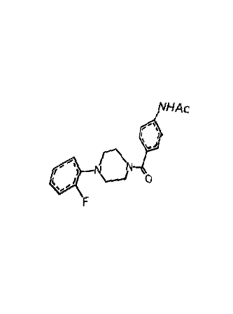 CC(=O)Nc1ccc(C(=O)N2CCN(c3ccccc3F)CC2)cc1